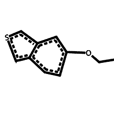 CCOc1ccc2[c]scc2c1